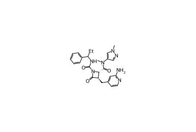 CCC(NC(=O)N1C(=O)[C@H](Cc2ccnc(N)c2)[C@H]1C(=O)N(C)c1cnn(C)c1)c1ccccc1